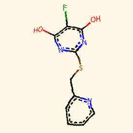 Oc1nc(SCc2ccccn2)nc(O)c1F